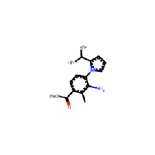 CCCC(CCC)c1cccn1-c1ccc(C(=O)OC)c(C)c1N